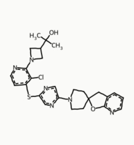 CC(C)(O)C1CN(c2nccc(Sc3cnc(N4CCC5(CC4)Cc4cccnc4O5)cn3)c2Cl)C1